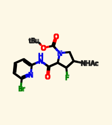 CC(=O)NC1CN(C(=O)OC(C)(C)C)C(C(=O)Nc2cccc(Br)n2)C1F